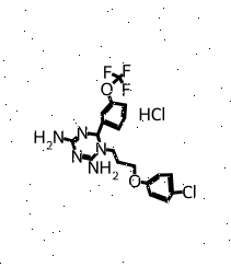 Cl.NC1=NC(c2cccc(OC(F)(F)F)c2)N(CCCOc2ccc(Cl)cc2)C(N)=N1